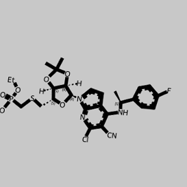 CCOP(=O)(CSC[C@H]1O[C@@H](n2ccc3c(N[C@@H](C)c4ccc(F)cc4)c(C#N)c(Cl)nc32)[C@@H]2OC(C)(C)O[C@@H]21)OCC